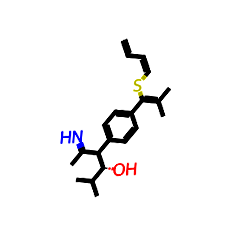 C=C/C=C\SC(=C(C)C)c1ccc(C(C(C)=N)[C@H](O)C(C)C)cc1